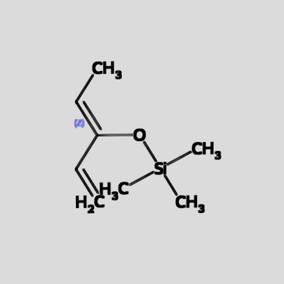 C=C/C(=C/C)O[Si](C)(C)C